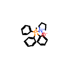 CP(c1ccccc1)(c1ccccc1)(c1ccccc1)[N+]1([O-])CCCC1